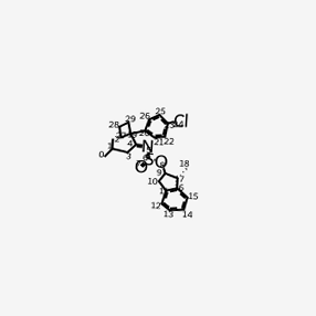 CC(C)C/C(=N\[S@](=O)OC1Cc2ccccc2[C@H]1C)C1(c2ccc(Cl)cc2)CCC1